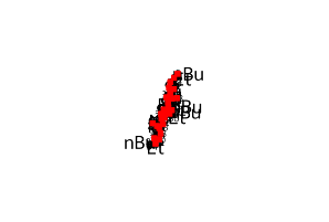 CCCCC(CC)Cc1cc2sc(-c3ccc(-c4cc5c(s4)-c4sc6cc(-c7ccc(-c8cc9sc(CC(CC)CCCC)cc9s8)c8nsnc78)sc6c4[Si]5(CC(CC)CCCC)CC(CC)CCCC)c4nsnc34)cc2s1